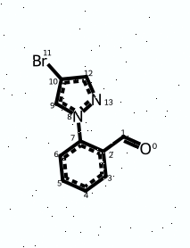 O=Cc1ccccc1-n1cc(Br)cn1